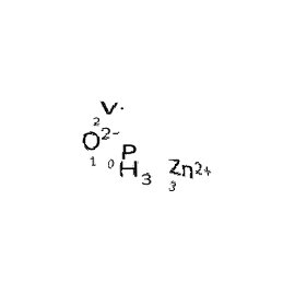 P.[O-2].[V].[Zn+2]